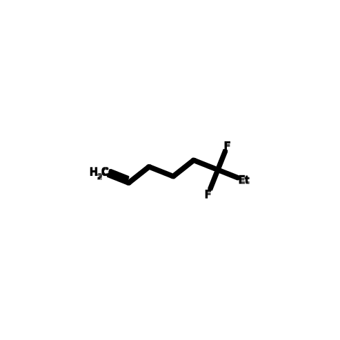 C=CCCCC(F)(F)CC